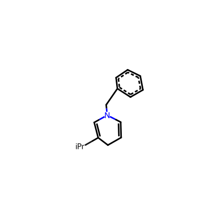 CC(C)C1=CN(Cc2ccccc2)C=CC1